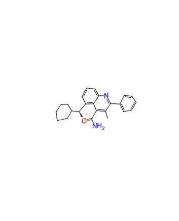 Cc1c(-c2ccccc2)nc2cccc([C@@H](C)C3CCCCC3)c2c1C(N)=O